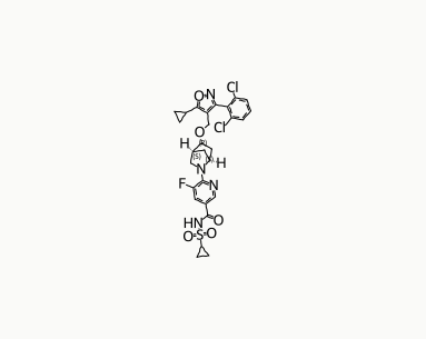 O=C(NS(=O)(=O)C1CC1)c1cnc(N2C[C@@H]3C[C@H]2C[C@H]3OCc2c(-c3c(Cl)cccc3Cl)noc2C2CC2)c(F)c1